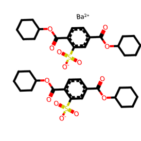 O=C(OC1CCCCC1)c1ccc(C(=O)OC2CCCCC2)c(S(=O)(=O)[O-])c1.O=C(OC1CCCCC1)c1ccc(C(=O)OC2CCCCC2)c(S(=O)(=O)[O-])c1.[Ba+2]